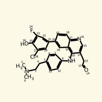 CN(C)CCc1ccc(Nc2c(CC=O)cnc3ccc(-c4cc(F)c(O)c(Cl)c4)cc23)cc1